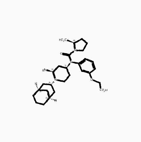 CCC[C@H]1C[C@@H](N(C(=O)N2CCC[C@@H]2C(=O)O)c2cccc(OCC(=O)O)c2)CCN1[C@H]1C[C@@H]2CCC[C@@H](C2)C1